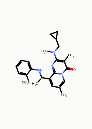 Cc1cc([C@@H](C)Nc2ccccc2C(=O)O)c2nc(N(C)CC3CC3)c(C)c(=O)n2c1